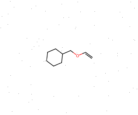 C=COCC1CC[CH]CC1